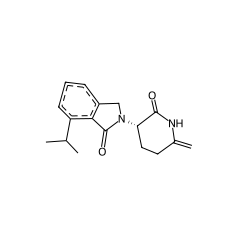 C=C1CC[C@H](N2Cc3cccc(C(C)C)c3C2=O)C(=O)N1